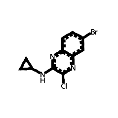 Clc1nc2cc(Br)ccc2nc1NC1CC1